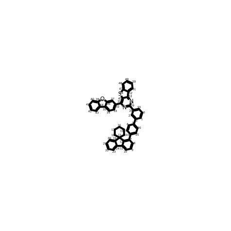 c1cc(-c2ccc(-c3cccc4c3C3(CCCCC3)c3ccccc3-4)cc2)cc(-c2nc(-c3ccc4c(c3)oc3ccccc34)c3sc4ccccc4c3n2)c1